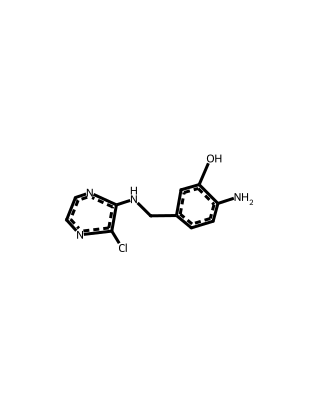 Nc1ccc(CNc2nccnc2Cl)cc1O